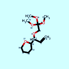 C=C[SiH](OCC(OC)(OC)OC)C1CCCCO1